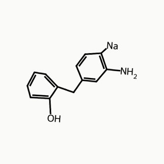 Nc1cc(Cc2ccccc2O)cc[c]1[Na]